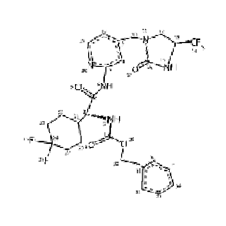 O=C(N[C@H](C(=O)Nc1cc(CN2C[C@@H](C(F)(F)F)NC2=O)ccn1)C1CCC(F)(F)CC1)OCc1ccccc1